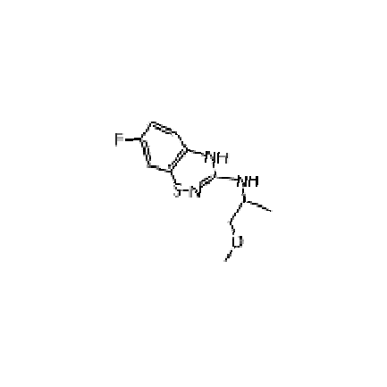 COCC(C)NC1=NSc2cc(F)ccc2N1